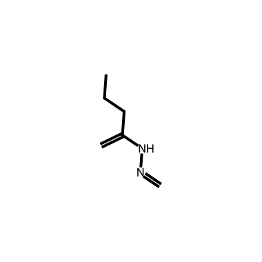 C=NNC(=C)CCC